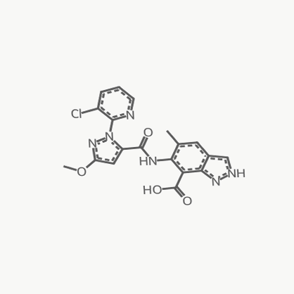 COc1cc(C(=O)Nc2c(C)cc3c[nH]nc3c2C(=O)O)n(-c2ncccc2Cl)n1